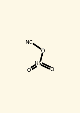 N#CO[SH](=O)=O